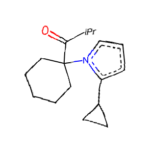 CC(C)C(=O)C1(n2cccc2C2CC2)CCCCC1